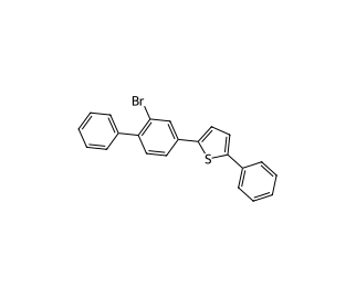 Brc1cc(-c2ccc(-c3ccccc3)s2)ccc1-c1ccccc1